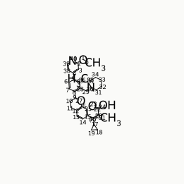 COc1cc(-c2ccc(C3CCc4ccc([C@H](C5CC5)[C@H](C)C(=O)O)cc4O3)c(CN3CCCC[C@@H]3C)c2)ccn1